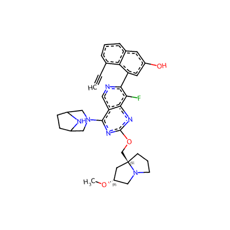 C#Cc1cccc2cc(O)cc(-c3ncc4c(N5CC6CCC(C5)N6)nc(OC[C@@]56CCCN5C[C@H](OC)C6)nc4c3F)c12